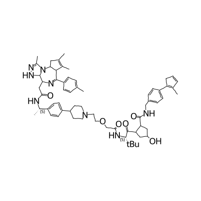 CC1=NNC2C(CC(=O)N[C@@H](C)c3ccc(C4CCN(CCOCC(=O)N[C@H](C(=O)C5CC(O)CC5C(=O)NCc5ccc(C6=C(C)C=CC6)cc5)C(C)(C)C)CC4)cc3)N=C(c3ccc(C)cc3)C3C(C)=C(C)CC3N12